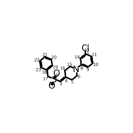 O=S(=O)(C=C1CCN(c2cccc(Cl)c2)CC1)Cc1ccccc1